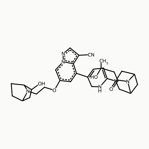 CC(O)CC(=O)N1C2CC1CN(C1=CC=C(c3cc(OCCN4C5CCC4C(O)C5)cn4ncc(C#N)c34)CN1)C2